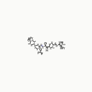 CCCOc1ccc(-c2ccc(OC(F)F)c(/C=C/C(=O)Nc3ccc(SCc4cncn4CCC)cc3)c2)cc1